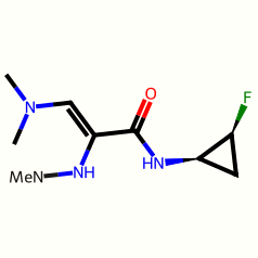 CNN/C(=C\N(C)C)C(=O)N[C@@H]1C[C@@H]1F